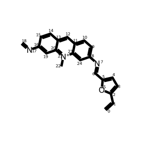 C=Cc1ccc(C=Nc2ccc3cc4ccc(N=C)cc4[n+](C)c3c2)o1